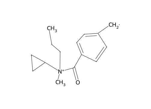 [CH2]c1ccc(C(=O)[N+](C)(CCC)C2CC2)cc1